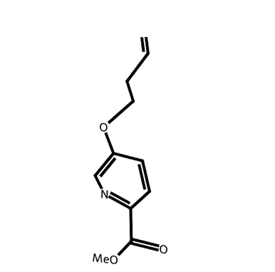 C=CCCOc1ccc(C(=O)OC)nc1